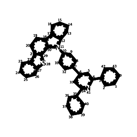 c1ccc(-c2cc(-c3ccc(-n4c5ccccc5c5ccc6c7ccccc7sc6c54)cc3)cc(-c3ccccc3)n2)cc1